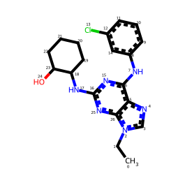 CCn1cnc2c(Nc3cccc(Cl)c3)nc(NC3CCCCC3O)nc21